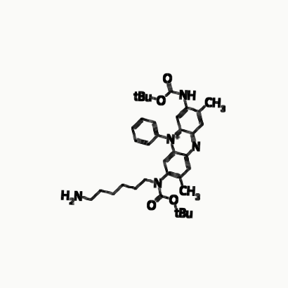 Cc1cc2nc3cc(C)c(N(CCCCCCN)C(=O)OC(C)(C)C)cc3[n+](-c3ccccc3)c2cc1NC(=O)OC(C)(C)C